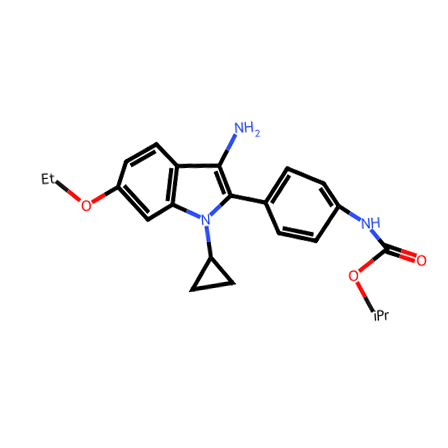 CCOc1ccc2c(N)c(-c3ccc(NC(=O)OC(C)C)cc3)n(C3CC3)c2c1